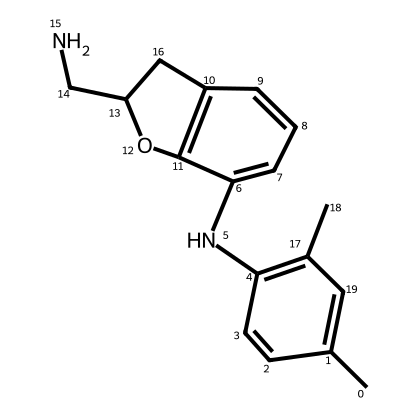 Cc1ccc(Nc2cccc3c2OC(CN)C3)c(C)c1